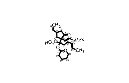 C=CC1CC(=O)C(C=CCCCCCC)(C(CCC=CC)(OC2CCCCO2)C(=O)O)C1